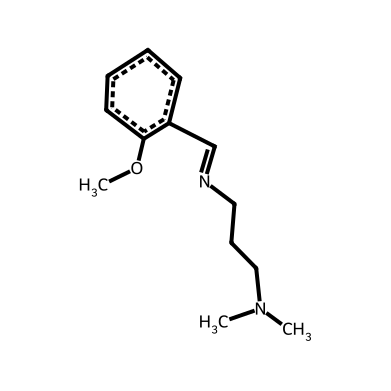 COc1ccccc1C=NCCCN(C)C